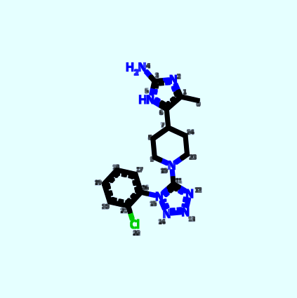 Cc1nc(N)[nH]c1C1CCN(c2nnnn2-c2ccccc2Cl)CC1